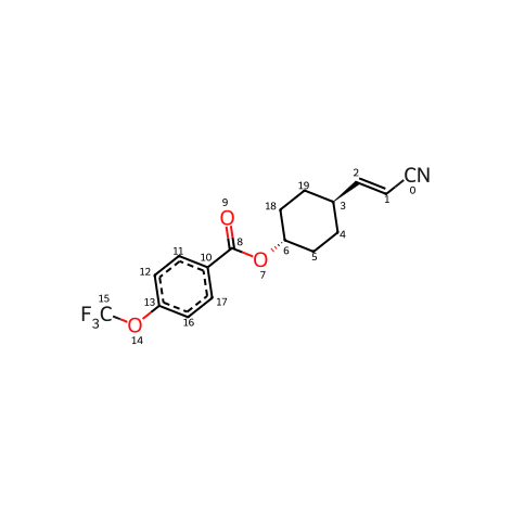 N#CC=C[C@H]1CC[C@H](OC(=O)c2ccc(OC(F)(F)F)cc2)CC1